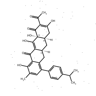 CC(=O)C1=C(O)C[C@H]2C[C@H]3Cc4c(-c5ccc(C(C)C)cc5)cc(C)c(O)c4C(=O)C3=C(O)[C@@]2(O)C1=O